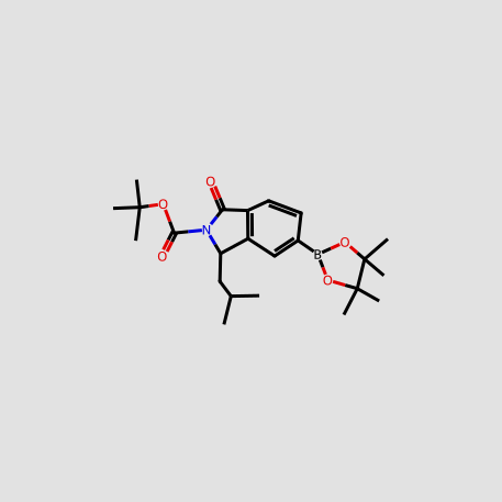 CC(C)CC1c2cc(B3OC(C)(C)C(C)(C)O3)ccc2C(=O)N1C(=O)OC(C)(C)C